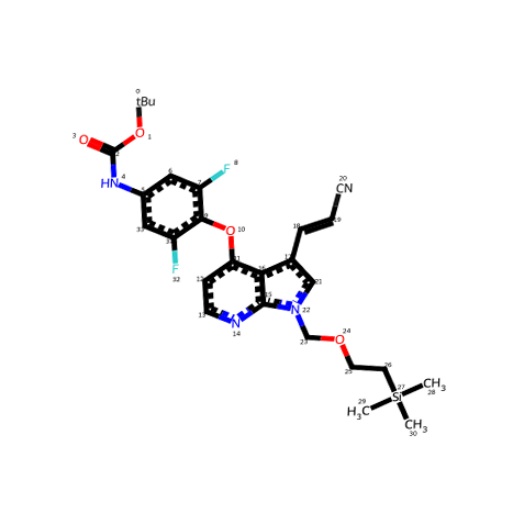 CC(C)(C)OC(=O)Nc1cc(F)c(Oc2ccnc3c2c(C=CC#N)cn3COCC[Si](C)(C)C)c(F)c1